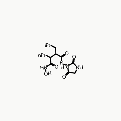 CCCC(C(=O)NO)[C@@H](CC(C)C)C(=O)NN1C(=O)CNC1=O